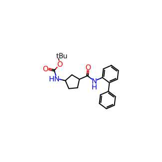 CC(C)(C)OC(=O)NC1CCC(C(=O)Nc2ccccc2-c2ccccc2)C1